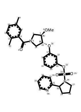 CO[C@@H]1CN(C(=O)c2cc(C)ccc2C)C[C@H]1Oc1cccc(OS(=O)(=O)N2CCCC2c2ccccn2)c1